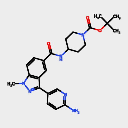 Cn1nc(-c2ccc(N)nc2)c2cc(C(=O)NC3CCN(C(=O)OC(C)(C)C)CC3)ccc21